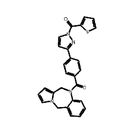 O=C(c1ccc(-c2ccn(C(=O)c3cccs3)n2)cc1)N1Cc2cccn2Cc2ccccc21